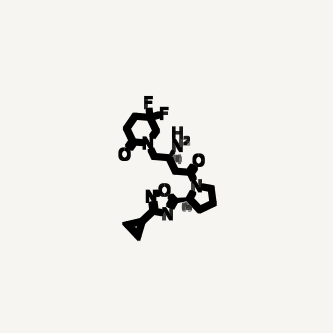 N[C@H](CC(=O)N1CCC[C@H]1c1nc(C2CC2)no1)CN1CC(F)(F)CCC1=O